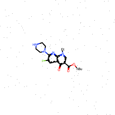 CCCCOC(=O)c1cn(CC)c2nc(N3CCNCC3)c(F)cc2c1=O